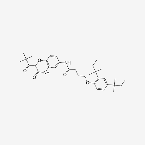 CCC(C)(C)c1ccc(OCCCC(=O)Nc2ccc3c(c2)NC(=O)C(C(=O)C(C)(C)C)O3)c(C(C)(C)CC)c1